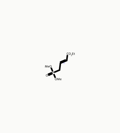 CCOC(=O)/C=C/CP(=O)(OC)OC